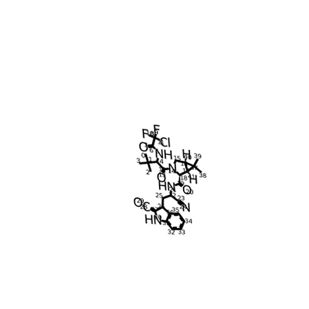 CC(C)(C)C(NC(=O)C(F)(F)Cl)C(=O)N1C[C@H]2[C@@H]([C@H]1C(=O)NC(C#N)CC1C(=C=O)Nc3ccccc31)C2(C)C